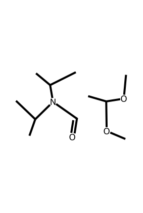 CC(C)N(C=O)C(C)C.COC(C)OC